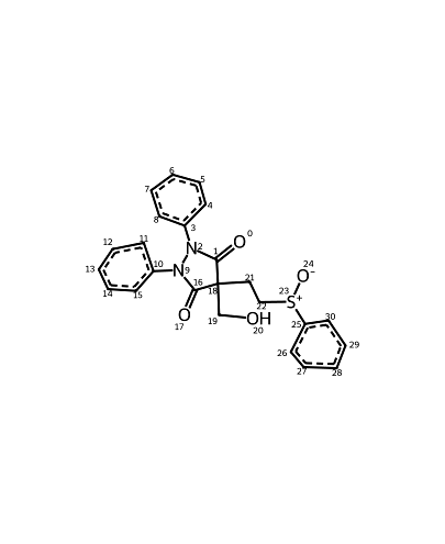 O=C1N(c2ccccc2)N(c2ccccc2)C(=O)C1(CO)CC[S+]([O-])c1ccccc1